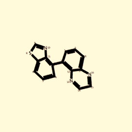 c1cc(-c2cccc3scnc23)c2nccnc2c1